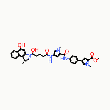 COC(=O)c1cc(-c2ccc(NC(=O)c3cc(NC(=O)CCCC(O)N4C[C@@H](C)c5c4cc(O)c4ccccc54)cn3C)cc2)cn1C